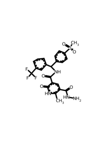 Cc1[nH]c(=O)c(C(=O)NC(c2ccc(S(C)(=O)=O)cc2)c2cccc(C(F)(F)F)c2)cc1C(=O)NN